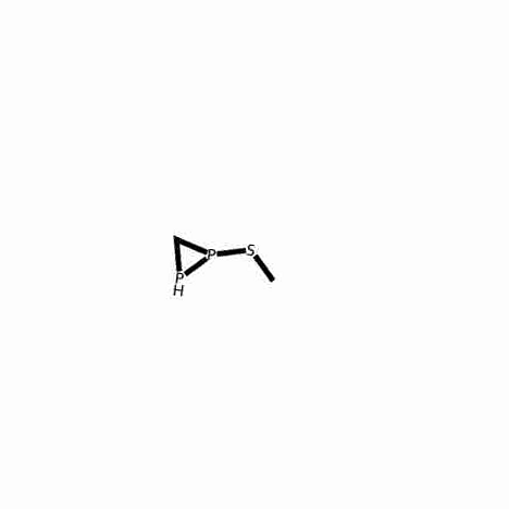 CSP1CP1